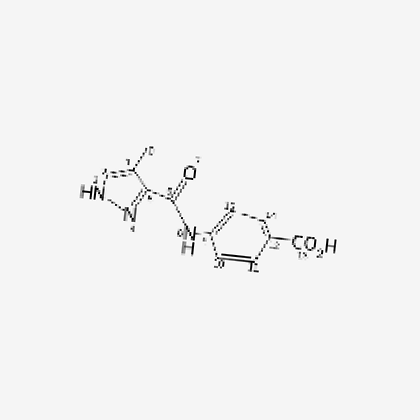 Cc1c[nH]nc1C(=O)Nc1ccc(C(=O)O)cc1